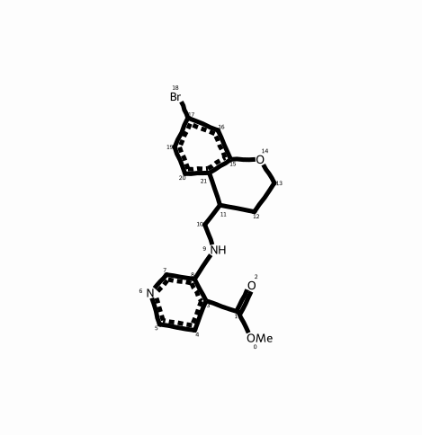 COC(=O)c1ccncc1NCC1CCOc2cc(Br)ccc21